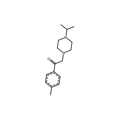 Cc1ccc(C(=O)CN2CCN(C(C)C)CC2)cc1